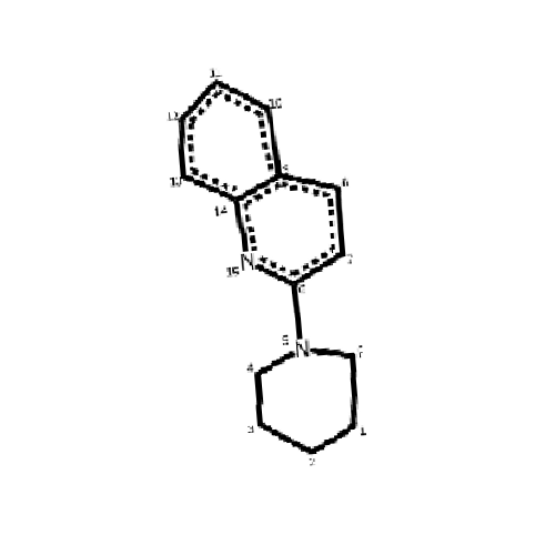 [CH]1CCCCN1c1ccc2ccccc2n1